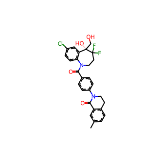 Cc1ccc2c(c1)C(=O)N(c1ccc(C(=O)N3CCC(F)(F)[C@](O)(CO)c4cc(Cl)ccc43)cc1)CC2